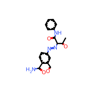 CC(=O)C(N=Nc1ccc(C(N)=O)c(C=O)c1)C(=O)Nc1ccccc1